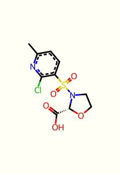 Cc1ccc(S(=O)(=O)N2CCO[C@@H]2C(=O)O)c(Cl)n1